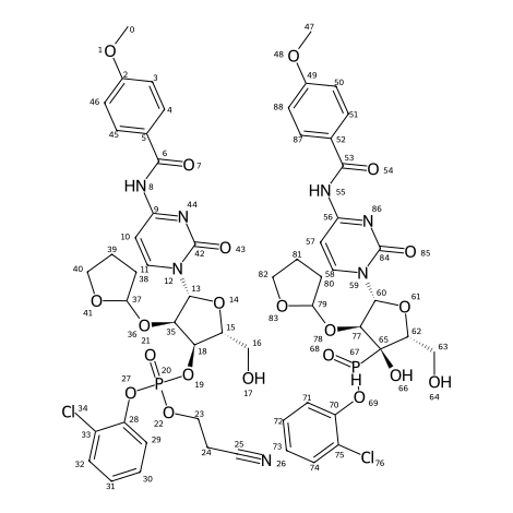 COc1ccc(C(=O)Nc2ccn([C@@H]3O[C@H](CO)[C@@H](OP(=O)(OCCC#N)Oc4ccccc4Cl)[C@H]3OC3CCCO3)c(=O)n2)cc1.COc1ccc(C(=O)Nc2ccn([C@@H]3O[C@H](CO)[C@](O)([PH](=O)Oc4ccccc4Cl)[C@H]3OC3CCCO3)c(=O)n2)cc1